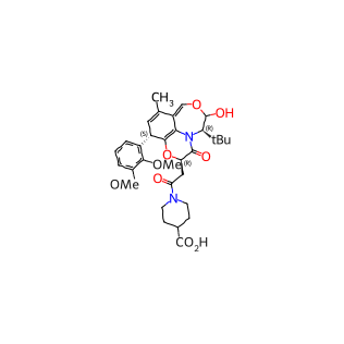 COc1cccc([C@@H]2C=C(C)C3=COC(O)[C@@H](C(C)(C)C)N4C(=O)[C@@H](CC(=O)N5CCC(C(=O)O)CC5)OC2=C34)c1OC